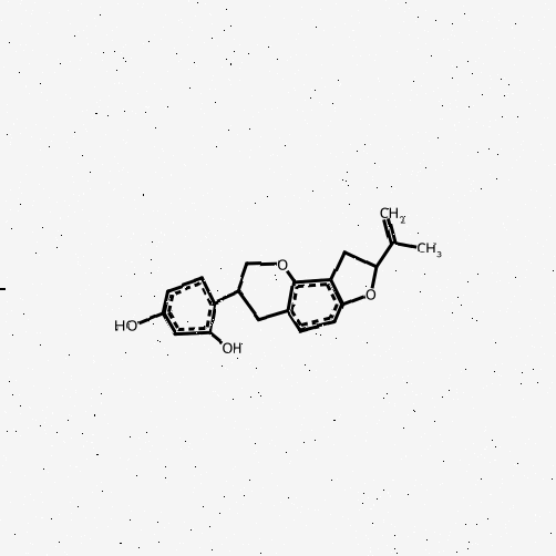 C=C(C)C1Cc2c(ccc3c2OCC(c2ccc(O)cc2O)C3)O1